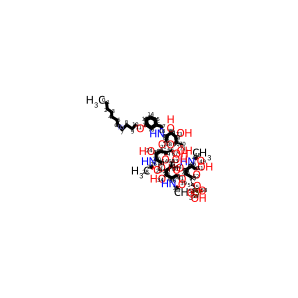 CCCCCC/C=C\CCCOc1cccc(CN[C@H]2C(O[C@H]3[C@H](O)[C@@H](NC(C)=O)[C@H](O[C@H]4[C@H](O)[C@@H](NC(C)=O)[C@H](O[C@H]5[C@H](O)[C@@H](NC(C)=O)C(O)O[C@@H]5COS(=O)(=O)O)O[C@@H]4CO)O[C@@H]3CO)O[C@H](CO)[C@@H](O)[C@@H]2O)c1